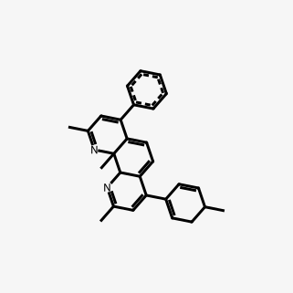 CC1=NC2C(=CC=C3C(c4ccccc4)=CC(C)=NC32C)C(C2=CCC(C)C=C2)=C1